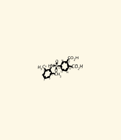 Cc1cccc(C)c1NS(=O)(=O)c1ccc(C(=O)O)c(C(=O)O)c1